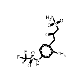 Cc1cc(NS(=O)(=O)C(F)(F)F)ccc1CC(=O)CS(N)(=O)=O